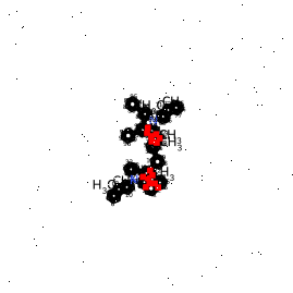 CC1(C)c2ccccc2-c2ccc(N(c3ccc4c(c3)C(C)(C)c3ccccc3-4)c3ccccc3-c3cc(C4CCCCC4)cc(C4CCCC(c5ccc6c(c5)C(C)(C)c5cc(N(c7ccc8c(c7)C(C)(C)c7ccccc7-8)c7ccc(C8CCCCC8)cc7-c7cc(C8CCCCC8)cc(C8CCCCC8)c7)ccc5-6)C4)c3)cc21